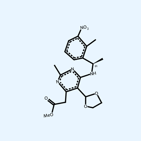 COC(=O)Cc1nc(C)nc(N[C@H](C)c2cccc([N+](=O)[O-])c2C)c1C1OCCO1